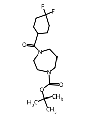 CC(C)(C)OC(=O)N1CCCN(C(=O)C2CCC(F)(F)CC2)CC1